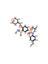 CCc1ccc(N(CC(C)C)S(=O)(=O)c2ccc(OCC3CCOCC3)c(/S(C)=N/C)c2)cc1